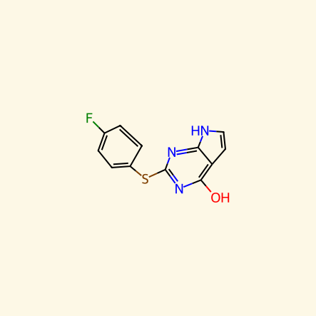 Oc1nc(Sc2ccc(F)cc2)nc2[nH]ccc12